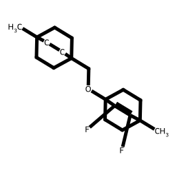 CC12CCC(COC34CCC(C)(CC3)C(F)=C4F)(CC1)CC2